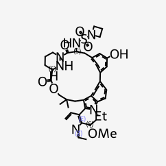 C=C/C(=C(\N=C/C)[C@H](C)OC)c1c2c3cc(ccc3n1CC)-c1cc(O)cc(c1)C[C@H](NS(=O)(=O)N1CCC1)C(=O)N1CCC[C@H](N1)C(=O)OCC(C)(C)C2